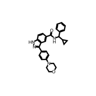 O=C(NC(c1ccccc1)C1CC1)c1ccc2[nH]nc(-c3ccc(N4CCOCC4)cc3)c2c1